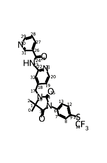 CC1(C)C(=O)N(c2ccc(SC(F)(F)F)cc2)C(=O)N1Cc1ccnc(NC(=O)c2cccnc2)c1